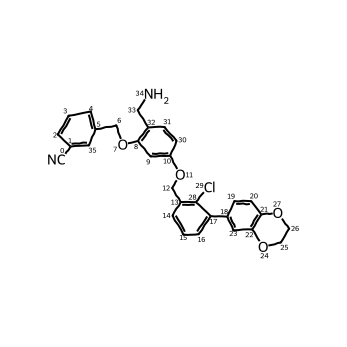 N#Cc1cccc(COc2cc(OCc3cccc(-c4ccc5c(c4)OCCO5)c3Cl)ccc2CN)c1